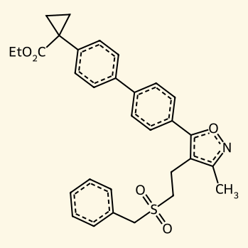 CCOC(=O)C1(c2ccc(-c3ccc(-c4onc(C)c4CCS(=O)(=O)Cc4ccccc4)cc3)cc2)CC1